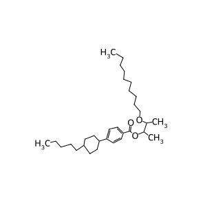 CCCCCCCCCCOC(C)C(C)OC(=O)c1ccc(C2CCC(CCCCC)CC2)cc1